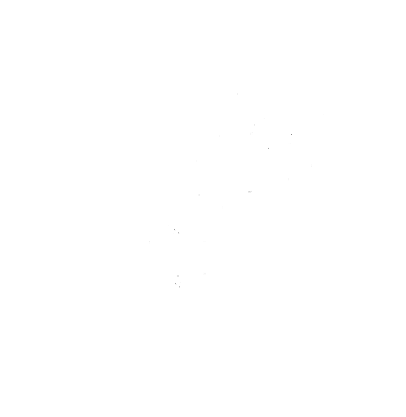 COC(=O)C1CN(Cc2ccc(C(O)(C(F)(F)F)C(F)(F)F)cc2)CCN1